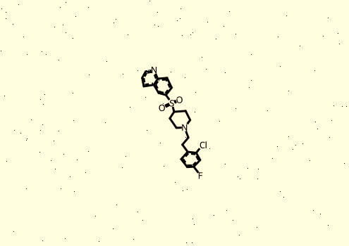 O=S(=O)(c1ccc2ncccc2c1)C1CCN(CCc2ccc(F)cc2Cl)CC1